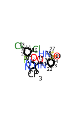 Cc1c(C(F)(F)F)nnc(Oc2c(F)cc(Cl)cc2Cl)c1C(=O)Nc1cccc(S(C)(=N)=O)c1